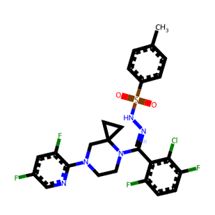 Cc1ccc(S(=O)(=O)N/N=C(/c2c(F)ccc(F)c2Cl)N2CCN(c3ncc(F)cc3F)CC23CC3)cc1